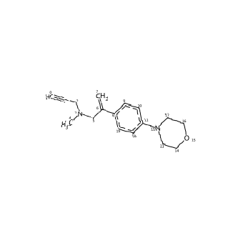 C#CCN(C)CC(=C)c1ccc(N2CCOCC2)cc1